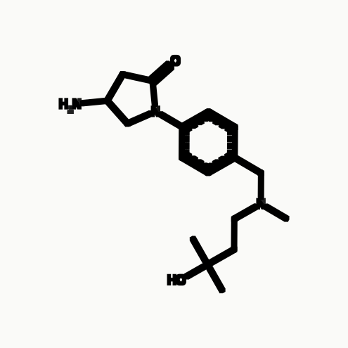 CN(CCC(C)(C)O)Cc1ccc(N2CC(N)CC2=O)cc1